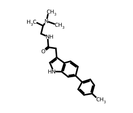 Cc1ccc(-c2ccc3c(CC(=O)NCC(C)N(C)C)c[nH]c3c2)cc1